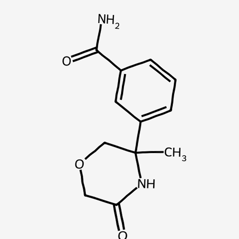 CC1(c2cccc(C(N)=O)c2)COCC(=O)N1